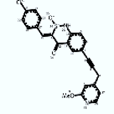 COc1cc(CC#Cc2ccc3c(c2)C(=O)/C(=C/c2ccc(Cl)cc2)[S+]([O-])N3)ccn1